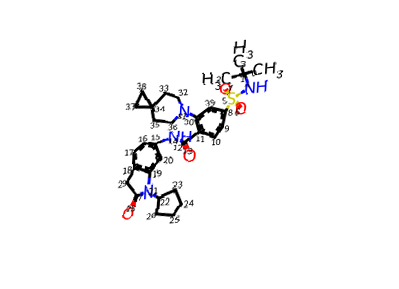 CC(C)(C)NS(=O)(=O)c1ccc(C(=O)Nc2ccc3c(c2)N(C2CCCC2)C(=O)C3)c(N2CCC3(CC2)CC3)c1